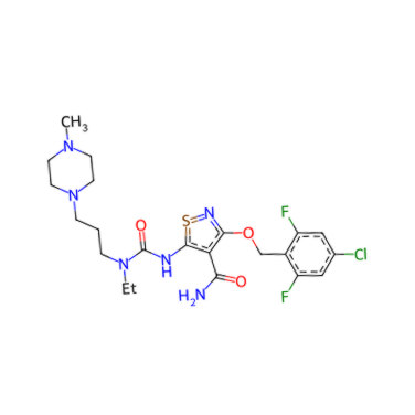 CCN(CCCN1CCN(C)CC1)C(=O)Nc1snc(OCc2c(F)cc(Cl)cc2F)c1C(N)=O